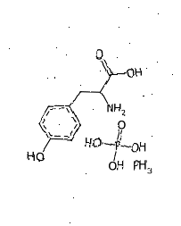 NC(Cc1ccc(O)cc1)C(=O)O.O=P(O)(O)O.P